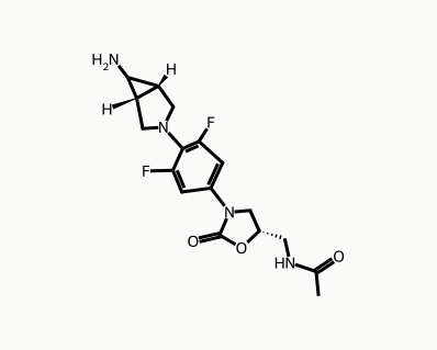 CC(=O)NC[C@H]1CN(c2cc(F)c(N3C[C@@H]4C(N)[C@@H]4C3)c(F)c2)C(=O)O1